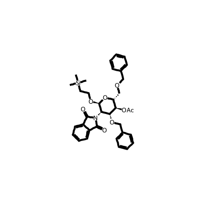 CC(=O)O[C@H]1[C@H](OCc2ccccc2)[C@H](N2C(=O)c3ccccc3C2=O)[C@@H](OCC[Si](C)(C)C)O[C@@H]1COCc1ccccc1